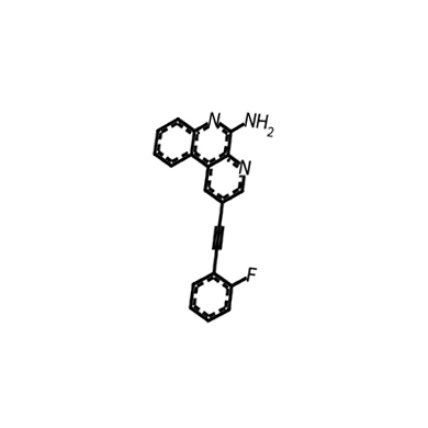 Nc1nc2ccccc2c2cc(C#Cc3ccccc3F)cnc12